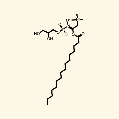 CCCCCCCCCCCCCCCC(=O)OC(C[N+](C)(C)C)=[P+]([O-])P(=O)(O)OCC(O)CO